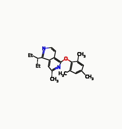 CCC(CC)c1nccc2c(Oc3c(C)cc(C)cc3C)nc(C)cc12